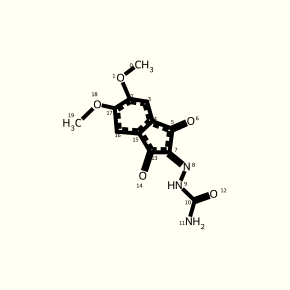 COc1cc2c(=O)c(=NNC(N)=O)c(=O)c2cc1OC